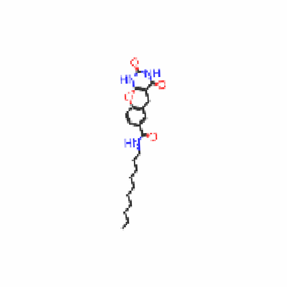 CCCCCCCCCCNC(=O)c1ccc2c(c1)Cc1c([nH]c(=O)[nH]c1=O)O2